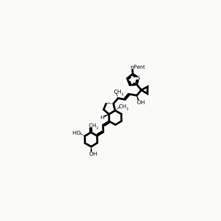 C=C1/C(=C\C=C2/CCC[C@]3(C)[C@@H]([C@H](C)/C=C/[C@H](O)C4(c5ccc(CCCCC)s5)CC4)CC[C@@H]23)C[C@@H](O)C[C@@H]1O